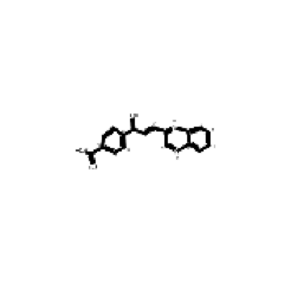 O=C(O)c1ccc(C(=O)/C=C/c2cnc3ccccc3n2)cc1